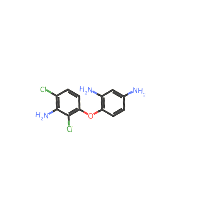 Nc1ccc(Oc2ccc(Cl)c(N)c2Cl)c(N)c1